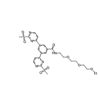 CCOCCOCCOCCNC(=O)c1cc(-c2ccnc(S(C)(=O)=O)n2)cc(-c2ccnc(S(C)(=O)=O)n2)c1